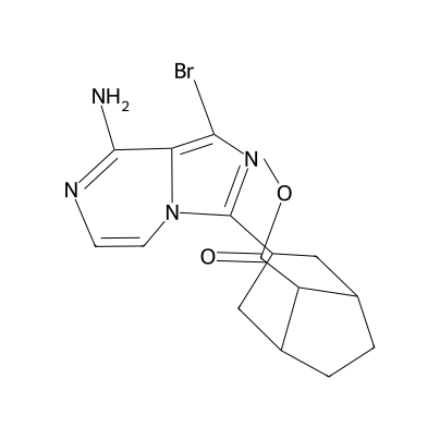 COC(=O)C1C2CCC1CC(c1nc(Br)c3c(N)nccn13)C2